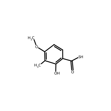 COc1ccc(C(=O)S)c(O)c1C